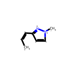 C/C=C\c1ccn(C)n1